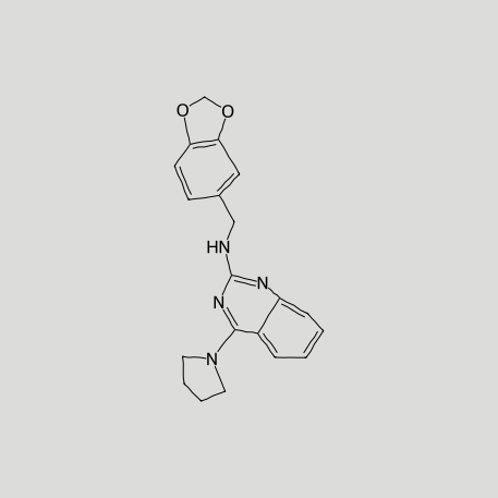 c1ccc2c(N3CCCC3)nc(NCc3ccc4c(c3)OCO4)nc2c1